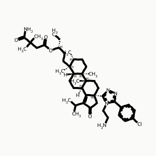 CC[C@H](CC[C@@]1(C)[C@H](C)CC[C@]2(C)[C@@H]1CC[C@@H]1C3=C(C(C)C)C(=O)C[C@]3(c3nnc(-c4ccc(Cl)cc4)n3CCN)CC[C@]12C)OC(=O)CC(C)(C)C(N)=O